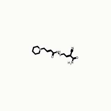 N#C/C(=C\CSNC(=O)/C=C/CN1CCCCC1)C(N)=O